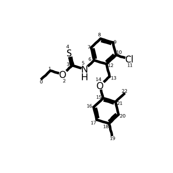 CCOC(=S)Nc1cccc(Cl)c1COc1ccc(C)cc1C